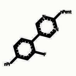 CCCCCc1ncc(-c2ccc(CCC)cc2F)cn1